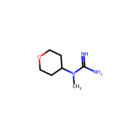 CN(C(=N)N)C1CCOCC1